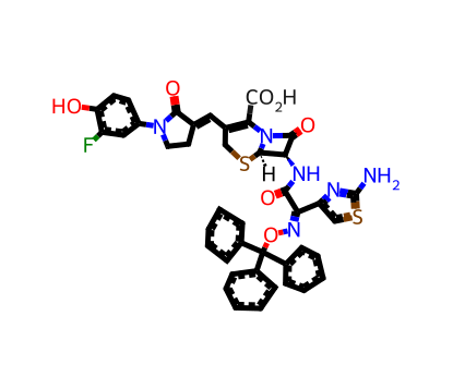 Nc1nc(/C(=N/OC(c2ccccc2)(c2ccccc2)c2ccccc2)C(=O)N[C@@H]2C(=O)N3C(C(=O)O)=C(/C=C4\CCN(c5ccc(O)c(F)c5)C4=O)CS[C@H]23)cs1